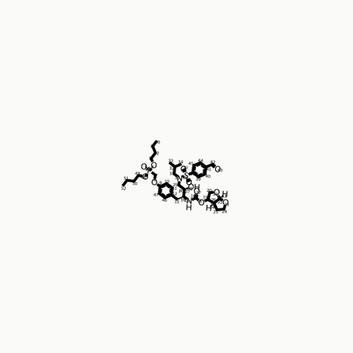 CCCCOP(=O)(COc1ccc(C[C@H](NC(=O)OC2CO[C@H]3OCC[C@@H]23)[C@H](O)CN(CC(C)C)S(=O)(=O)c2ccc(C=O)cc2)cc1)OCCCC